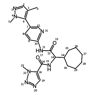 Cc1cnn(C)c1-c1ccc(NC(=O)C(NC(=O)c2cnnn2C)C2CCCCCC2)nc1